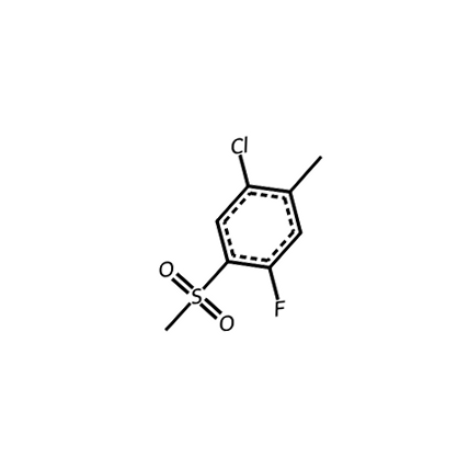 Cc1cc(F)c(S(C)(=O)=O)cc1Cl